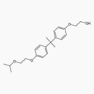 CC(C)OCCOc1ccc(C(C)(C)c2ccc(OCCO)cc2)cc1